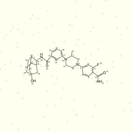 CC1CN(c2ccc(C(N)=O)c(F)c2)CCN1c1cccc(C(=O)NC2C3CC4CC2CC(O)(C4)C3)n1